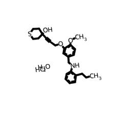 CCCc1ccccc1NCc1ccc(OC)c(OCC#CC2(O)CCSCC2)c1.Cl.O